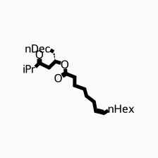 CCCCCC/C=C\CCCCCC(=O)O[C@@H](CCCCCCCCCCC)CC(=O)C(C)C